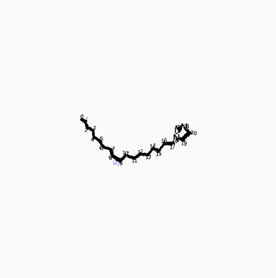 CCCCCCCC/C=C\CCCCCCCCn1ccnn1